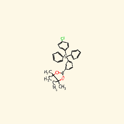 CC1(C)OB(c2cccc([Si](c3ccccc3)(c3ccccc3)c3ccc(Cl)cc3)c2)OC1(C)C